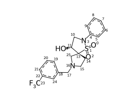 O=S1(=O)N(c2ccccc2)C[C@H](O)[C@]12CCN(Cc1cccc(C(F)(F)F)c1)C2